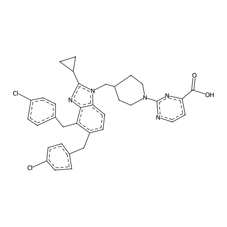 O=C(O)c1ccnc(N2CCC(Cn3c(C4CC4)nc4c(Cc5ccc(Cl)cc5)c(Cc5ccc(Cl)cc5)ccc43)CC2)n1